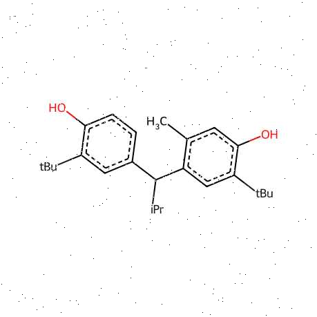 Cc1cc(O)c(C(C)(C)C)cc1C(c1ccc(O)c(C(C)(C)C)c1)C(C)C